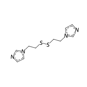 c1cn(CCSSCCn2ccnc2)cn1